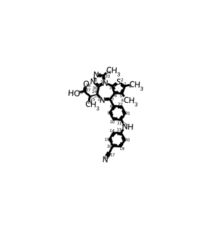 Cc1sc2c(c1C)C(c1ccc(Nc3ccc(C#N)cc3)cc1)=N[C@@H](C(C)C(=O)O)c1nnc(C)n1-2